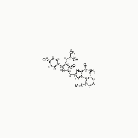 CSc1ccccc1-n1nc(Cn2nc(-c3ccc(Cl)cc3)n(CC(O)C(F)(F)F)c2=O)nc1C(N)=O